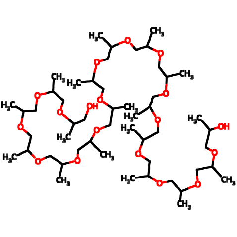 CC(O)COC(C)COC(C)COC(C)COC(C)COC(C)COC(C)COC(C)COC(C)COC(C)COC(C)COC(C)COC(C)COC(C)COC(C)COC(C)COC(C)CO